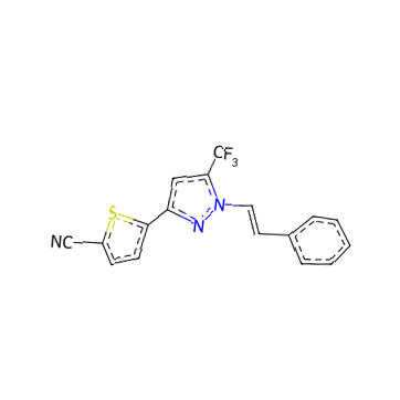 N#Cc1ccc(-c2cc(C(F)(F)F)n(C=Cc3ccccc3)n2)s1